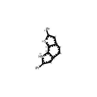 CC(C)c1cc2ccc3cc(C(C)C)sc3c2[nH]1